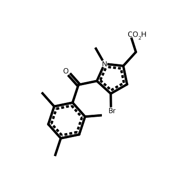 Cc1cc(C)c(C(=O)c2c(Br)cc(CC(=O)O)n2C)c(C)c1